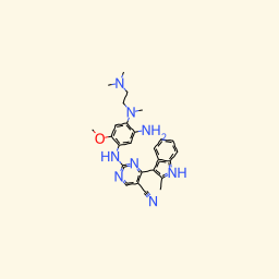 COc1cc(N(C)CCN(C)C)c(N)cc1Nc1ncc(C#N)c(-c2c(C)[nH]c3ccccc23)n1